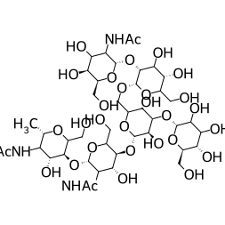 CC(=O)NC1C(O)[C@H](O)[C@H](CO)O[C@H]1O[C@@H]1C(O)[C@H](O)C(CO)O[C@@H]1OCC1O[C@@H](O[C@@H]2C(CO)O[C@@H](O[C@@H]3C(CO)O[C@@H](C)C(NC(C)=O)[C@H]3O)C(NC(C)=O)[C@H]2O)[C@H](O)C(O[C@H]2O[C@H](CO)[C@@H](O)C(O)C2O)[C@@H]1O